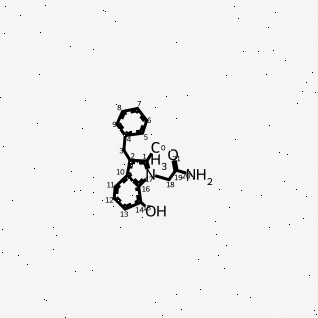 Cc1c(Cc2ccccc2)c2cccc(O)c2n1CC(N)=O